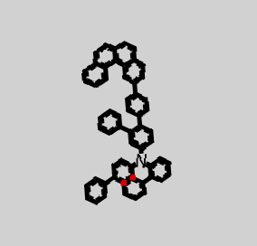 c1ccc(-c2ccc(N(c3ccc(-c4ccc(-c5ccc6ccc7ccc8ccccc8c7c6c5)cc4)c(-c4ccccc4)c3)c3ccccc3-c3ccccc3)cc2)cc1